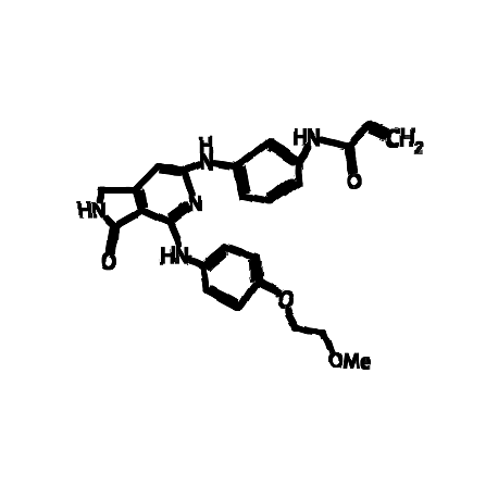 C=CC(=O)Nc1cccc(Nc2cc3c(c(Nc4ccc(OCCOC)cc4)n2)C(=O)NC3)c1